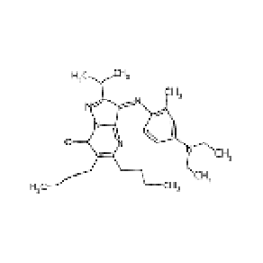 CCCCc1nc2n(c(=O)c1CCCC)N=C(C(C)C)C2=Nc1ccc(N(CC)CC)cc1C